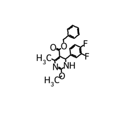 COC1=NC(C)=C(C(=O)OCc2ccccc2)C(c2ccc(F)c(F)c2)N1